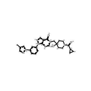 Cc1cnn(-c2cccc(-n3ncc4c(=O)n(CC5(O)CCN(C(=O)C6CC6)CC5)cnc43)c2)c1